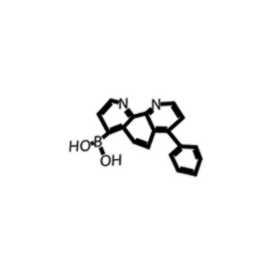 OB(O)c1ccnc2c1ccc1c(-c3ccccc3)ccnc12